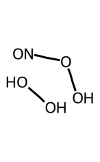 O=NOO.OO